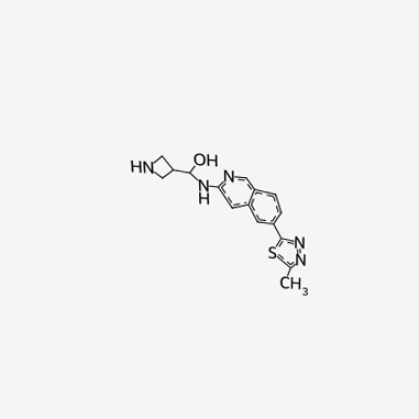 Cc1nnc(-c2ccc3cnc(NC(O)C4CNC4)cc3c2)s1